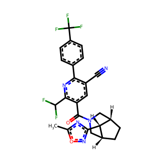 Cc1nc([C@H]2[C@@H]3CC[C@H]2CN(C(=O)c2cc(C#N)c(-c4ccc(C(F)(F)F)cc4)nc2C(F)F)C3)no1